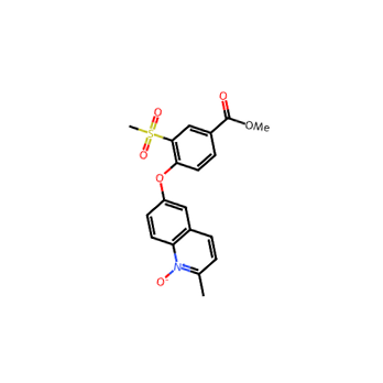 COC(=O)c1ccc(Oc2ccc3c(ccc(C)[n+]3[O-])c2)c(S(C)(=O)=O)c1